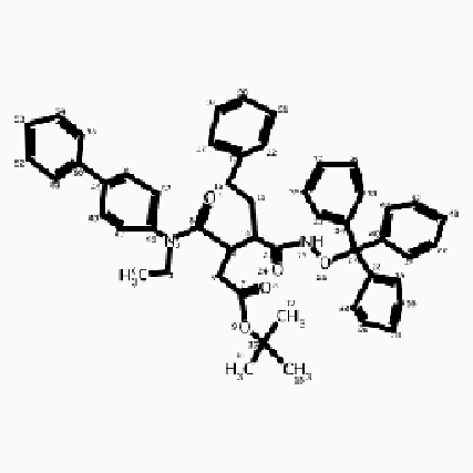 CCN(C(=O)C(CC(=O)OC(C)(C)C)C(CCc1ccccc1)C(=O)NOC(c1ccccc1)(c1ccccc1)c1ccccc1)c1ccc(-c2ccccc2)cc1